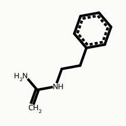 C=C(N)NCCc1ccccc1